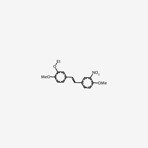 CCOc1cc(C=Cc2ccc(OC)c([N+](=O)[O-])c2)ccc1OC